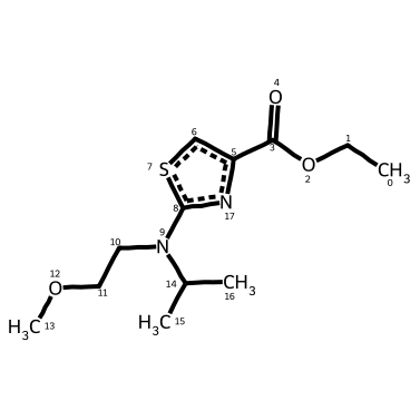 CCOC(=O)c1csc(N(CCOC)C(C)C)n1